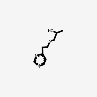 CC(O)CSCCc1ccncn1